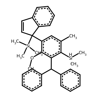 COc1c(C2([Si](C)(C)C)C=Cc3ccccc32)cc(C)c([SiH](C)C)c1C(c1ccccc1)c1ccccc1